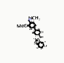 C/N=C\c1ccc(-c2ccc(Cn3cnc4ccccc43)cc2)cc1OC